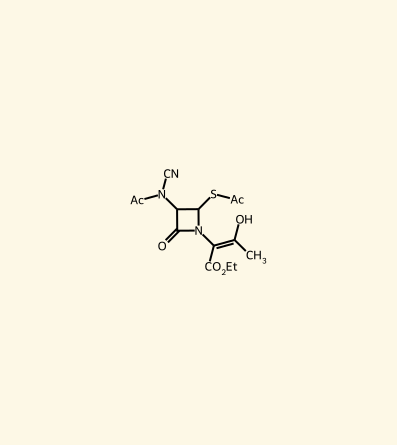 CCOC(=O)C(=C(C)O)N1C(=O)C(N(C#N)C(C)=O)C1SC(C)=O